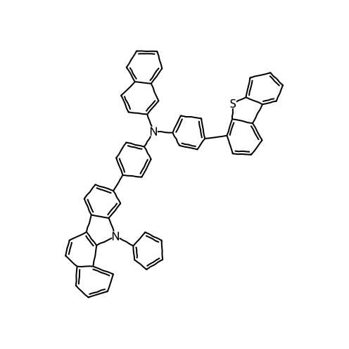 c1ccc(-n2c3cc(-c4ccc(N(c5ccc(-c6cccc7c6sc6ccccc67)cc5)c5ccc6ccccc6c5)cc4)ccc3c3ccc4ccccc4c32)cc1